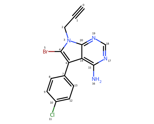 C#CCn1c(Br)c(-c2ccc(Cl)cc2)c2c(N)ncnc21